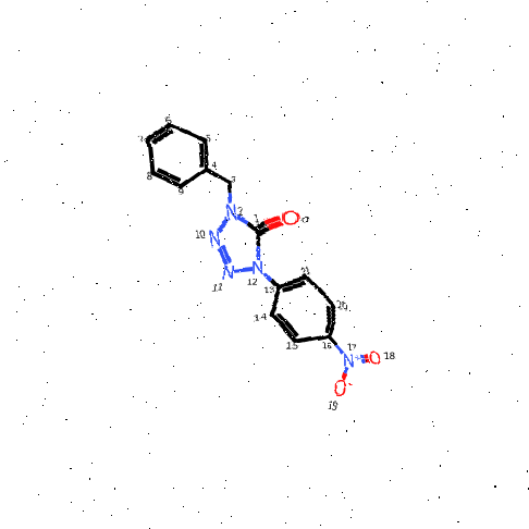 O=c1n(Cc2ccccc2)nnn1-c1ccc([N+](=O)[O-])cc1